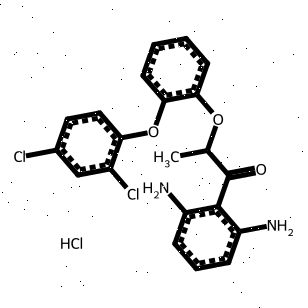 CC(Oc1ccccc1Oc1ccc(Cl)cc1Cl)C(=O)c1c(N)cccc1N.Cl